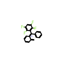 C=c1cccc/c1=C(/c1ccccc1)c1c(F)c(F)cc(F)c1F